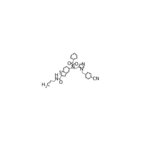 C=CCNC(=O)c1cc2cc(N(Cc3cncn3Cc3ccc(C#N)cc3)S(=O)(=O)c3ccccc3)ccc2s1